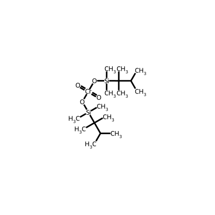 CC(C)C(C)(C)[Si](C)(C)[O][Cr](=[O])(=[O])[O][Si](C)(C)C(C)(C)C(C)C